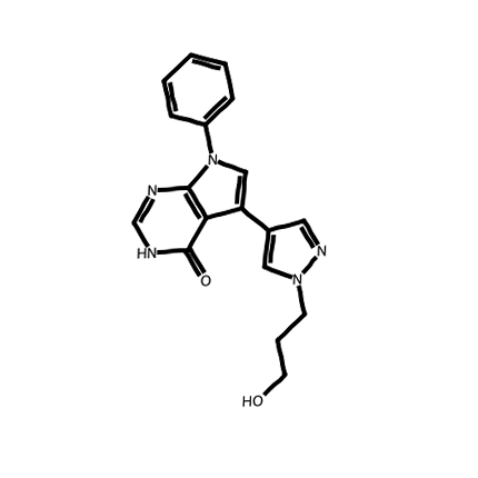 O=c1[nH]cnc2c1c(-c1cnn(CCCO)c1)cn2-c1ccccc1